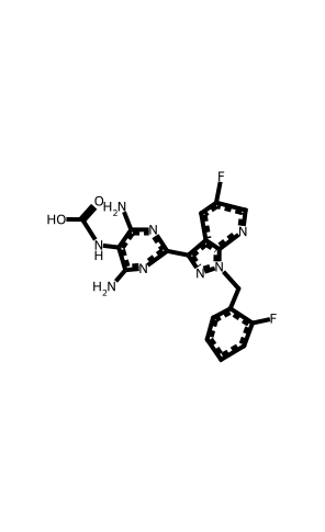 Nc1nc(-c2nn(Cc3ccccc3F)c3ncc(F)cc23)nc(N)c1NC(=O)O